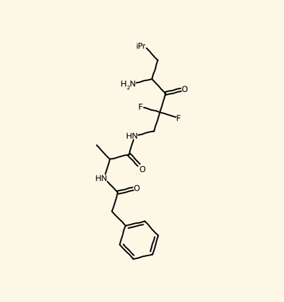 CC(C)CC(N)C(=O)C(F)(F)CNC(=O)C(C)NC(=O)Cc1ccccc1